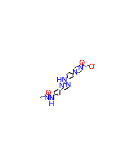 CCNC(=O)Nc1ccc(-c2ccnc(Nc3ccc(N4CCN(C(=O)CCOC)CC4)cc3)n2)cc1